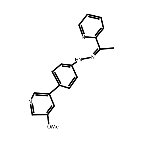 COc1cncc(-c2ccc(NN=C(C)c3ccccn3)cc2)c1